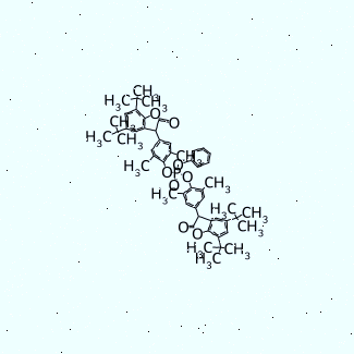 Cc1cc(C2C(=O)Oc3c2cc(C(C)(C)C)cc3C(C)(C)C)cc(C)c1OP(=O)(Oc1ccccc1)Oc1c(C)cc(C2C(=O)Oc3c2cc(C(C)(C)C)cc3C(C)(C)C)cc1C